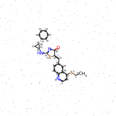 CCSc1ccnc2ccc(/C=C3\SC(N[C@H]4C[C@@H]4c4ccccc4)=NC3=O)cc12